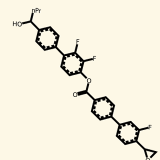 CCCC(O)c1ccc(-c2ccc(OC(=O)c3ccc(-c4ccc(C5CO5)c(F)c4)cc3)c(F)c2F)cc1